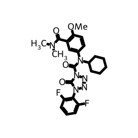 COc1ccc(N(C(=O)n2nnn(-c3c(F)cccc3F)c2=O)C2CCCCC2)cc1C(=O)N(C)C